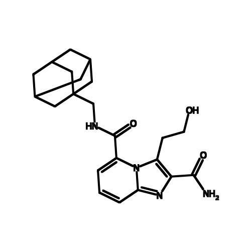 NC(=O)c1nc2cccc(C(=O)NCC34CC5CC(CC(C5)C3)C4)n2c1CCO